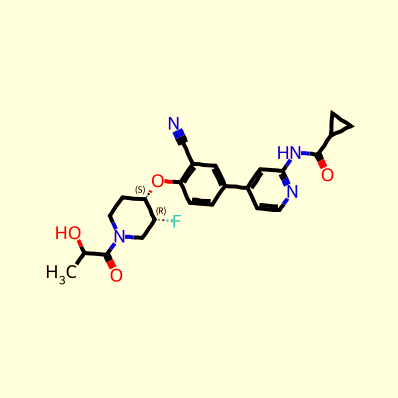 CC(O)C(=O)N1CC[C@H](Oc2ccc(-c3ccnc(NC(=O)C4CC4)c3)cc2C#N)[C@H](F)C1